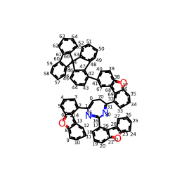 C1=C(c2cccc3oc4ccccc4c23)N=C(c2cccc3oc4ccccc4c23)N=C(c2cccc3oc4ccc(-c5cccc6c5-c5ccccc5C65c6ccccc6-c6ccccc65)cc4c23)C1